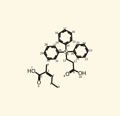 CCC=C(C)C(=O)O.O=C(O)CC[Si](c1ccccc1)(c1ccccc1)c1ccccc1